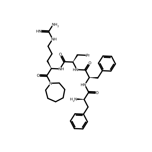 CC(C)C[C@@H](NC(=O)[C@@H](Cc1ccccc1)NC(=O)[C@H](N)Cc1ccccc1)C(=O)N[C@H](CCCNC(=N)N)C(=O)N1CCCCCC1